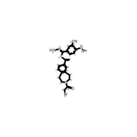 C=C(S/C(=N\N)c1ccc(OC(C)C)c(C#N)c1)c1ccc2c(c1)CCN(C(=O)CBr)CC2